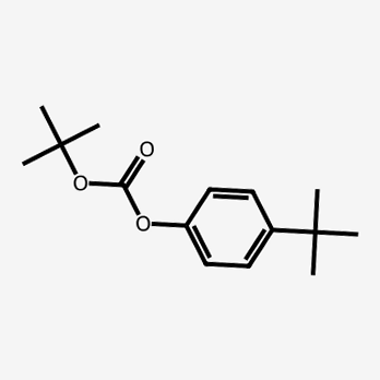 CC(C)(C)OC(=O)Oc1ccc(C(C)(C)C)cc1